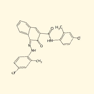 Cc1cc(Cl)ccc1N/N=C1\C(=O)C(C(=O)Nc2ccc(Cl)cc2C)=Cc2ccccc21